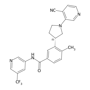 Cc1ccc(C(=O)Nc2cncc(C(F)(F)F)c2)cc1[C@@H]1CCN(c2cnccc2C#N)C1